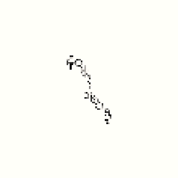 O=C(CCCCCN1CCN(c2cccc(C(F)(F)F)c2)CC1)n1cc2ccc(CN3CCOCC3)cc2c1